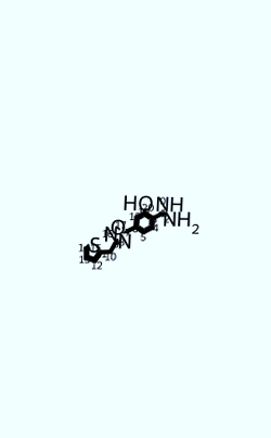 N=C(N)c1ccc(-c2nc(Cc3cccs3)no2)cc1O